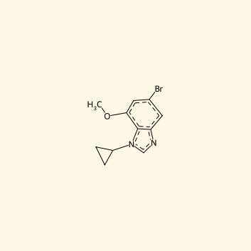 COc1cc(Br)cc2ncn(C3CC3)c12